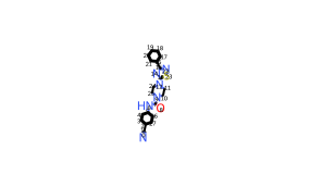 N#Cc1ccc(NC(=O)N2CCN(c3nc(-c4ccccc4)ns3)CC2)cc1